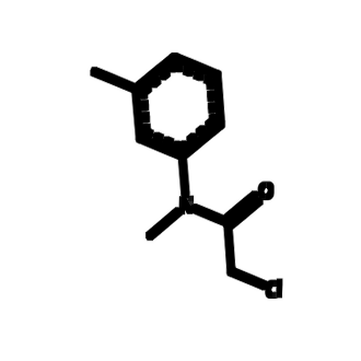 Cc1cccc(N(C)C(=O)CCl)c1